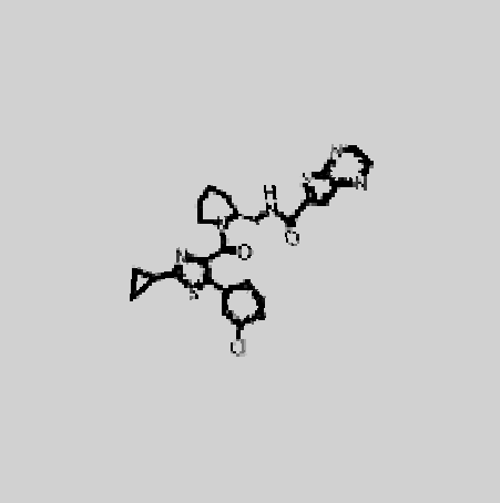 O=C(NC[C@@H]1CCCCN1C(=O)c1nc(C2CC2)sc1-c1cccc(Cl)c1)c1cc2nccnc2s1